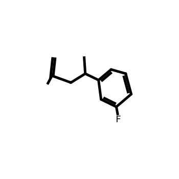 C=C(C)CC(C)c1cccc(F)c1